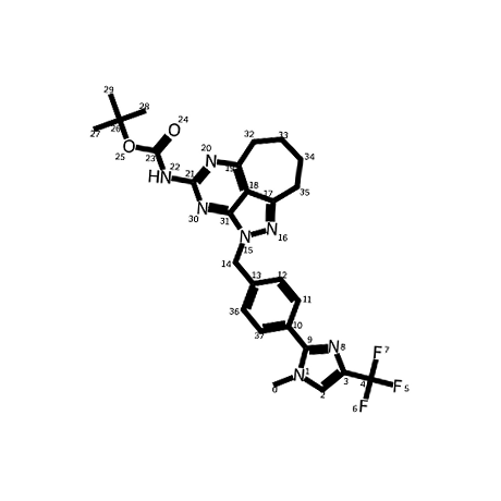 Cn1cc(C(F)(F)F)nc1-c1ccc(Cn2nc3c4c(nc(NC(=O)OC(C)(C)C)nc42)CCCC3)cc1